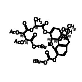 CCCCOC(=O)[C@H](OC(C)=O)[C@@H](OC(C)=O)C(=O)O[C@@H](C)C(=O)OC1=CC[C@@]2(O)[C@H]3Cc4ccc(OC(=O)OC(C)(C)C)c5c4[C@@]2(CCN3C)[C@H]1O5